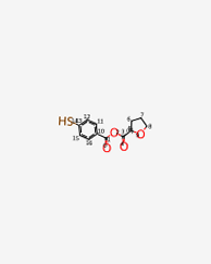 O=C(OC(=O)[C@H]1CCCO1)c1ccc(S)cc1